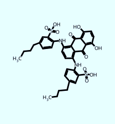 CCCCc1ccc(Nc2ccc(Nc3ccc(CCCC)cc3S(=O)(=O)O)c3c2C(=O)c2c(O)ccc(O)c2C3=O)c(S(=O)(=O)O)c1